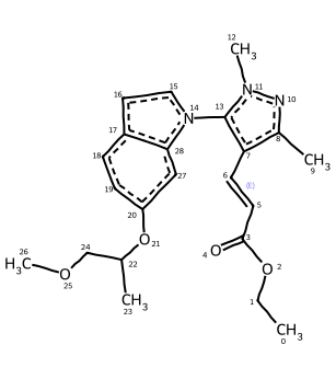 CCOC(=O)/C=C/c1c(C)nn(C)c1-n1ccc2ccc(OC(C)COC)cc21